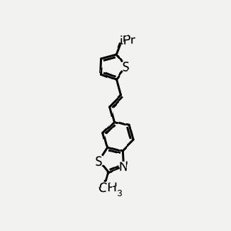 Cc1nc2ccc(/C=C/c3ccc(C(C)C)s3)cc2s1